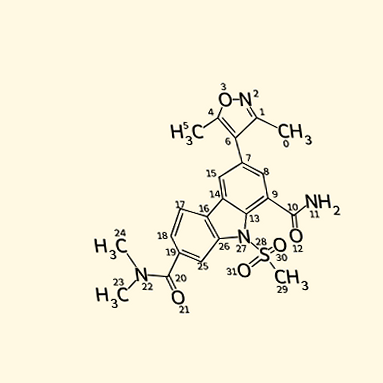 Cc1noc(C)c1-c1cc(C(N)=O)c2c(c1)c1ccc(C(=O)N(C)C)cc1n2S(C)(=O)=O